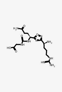 N=C(N)NCCC[C@H](N)c1noc([C@H](CCC(N)=O)NC(=O)NCC(=O)O)n1